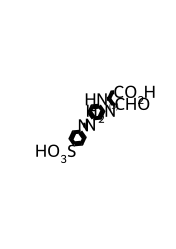 N[C@H](C=O)C(CC(=O)O)Nc1ccc(N=Nc2ccc(S(=O)(=O)O)cc2)cc1